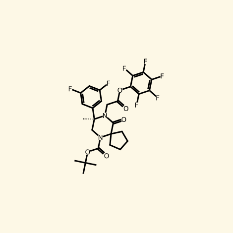 CC(C)(C)OC(=O)N1C[C@@](C)(c2cc(F)cc(F)c2)N(CC(=O)Oc2c(F)c(F)c(F)c(F)c2F)C(=O)C12CCCC2